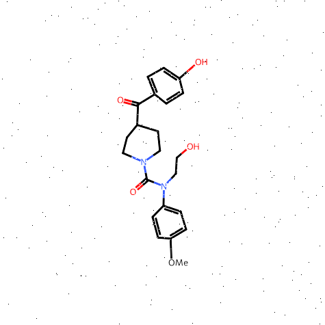 COc1ccc(N(CCO)C(=O)N2CCC(C(=O)c3ccc(O)cc3)CC2)cc1